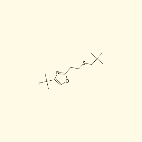 CC(C)(C)CSCCc1nc(C(C)(C)I)co1